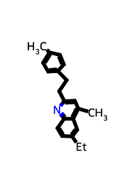 CCc1ccc2nc(CCc3ccc(C)cc3)cc(C)c2c1